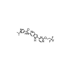 CC(C)n1cc(C(=O)Nc2cc3[nH]c(-c4ccnc(OCCC(F)(F)F)n4)cc3cn2)cn1